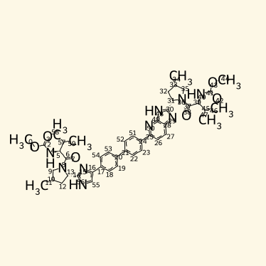 COC(=O)N[C@H](C(=O)N1C[C@@H](C)C[C@H]1c1nc(-c2ccc(-c3ccc(-c4ccc5nc([C@@H]6C[C@H](C)CN6C(=O)[C@@H](NC(=O)OC)C(C)C)[nH]c5n4)cc3)cc2)c[nH]1)C(C)C